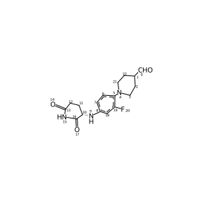 O=CC1CCN(c2ccc(N[C@H]3CCC(=O)NC3=O)cc2F)CC1